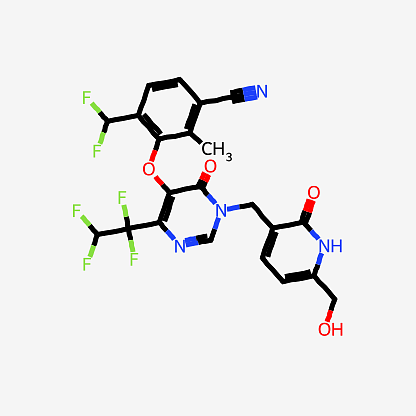 Cc1c(C#N)ccc(C(F)F)c1Oc1c(C(F)(F)C(F)F)ncn(Cc2ccc(CO)[nH]c2=O)c1=O